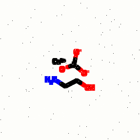 NCCO.[Cu+3].[O-]B([O-])[O-]